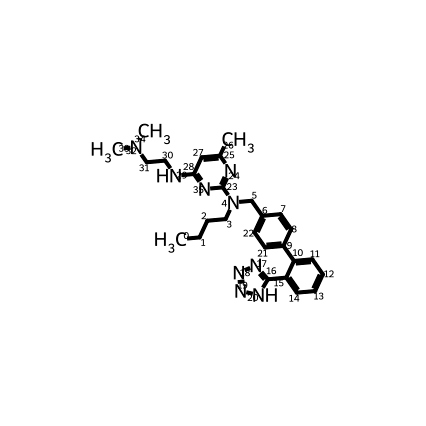 CCCCN(Cc1ccc(-c2ccccc2-c2nnn[nH]2)cc1)c1nc(C)cc(NCCN(C)C)n1